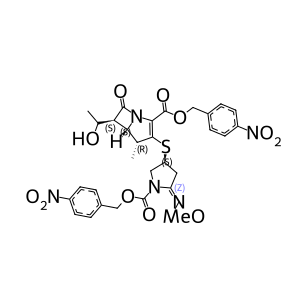 CO/N=C1/C[C@H](SC2=C(C(=O)OCc3ccc([N+](=O)[O-])cc3)N3C(=O)[C@H](C(C)O)[C@H]3[C@H]2C)CN1C(=O)OCc1ccc([N+](=O)[O-])cc1